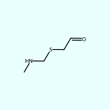 CNCSCC=O